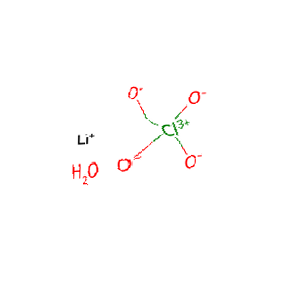 O.[Li+].[O-][Cl+3]([O-])([O-])[O-]